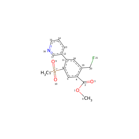 COC(=O)c1cc(S(C)(=O)=O)c(-c2cccnc2)cc1CF